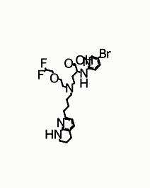 O=C(O)C(CCN(CCCCc1ccc2c(n1)NCCC2)CCOCC(F)F)Nc1ccc(Br)cn1